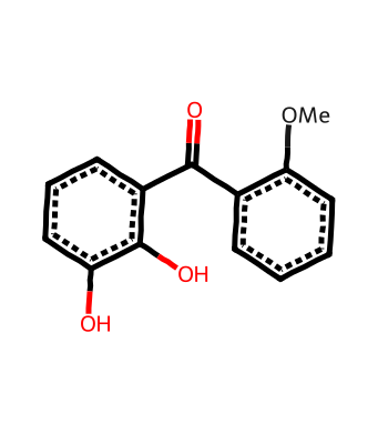 COc1ccccc1C(=O)c1cccc(O)c1O